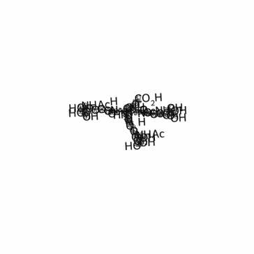 CC(=O)N[C@H]1[C@H](OCCOCCOCCOCC(=O)NCCCC[C@H](NC(=O)COCCOCCOCCO[C@@H]2O[C@H](CO)[C@H](O)[C@H](O)[C@H]2NC(C)=O)C(=O)N[C@@H](CCCCNC(=O)COCCOCCOCCO[C@@H]2O[C@H](CO)[C@H](O)[C@H](O)[C@H]2NC(C)=O)C(=O)NCOCCC(=O)O)O[C@H](CO)[C@H](O)[C@@H]1O